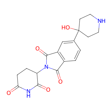 O=C1CCC(N2C(=O)c3ccc(C4(O)CCNCC4)cc3C2=O)C(=O)N1